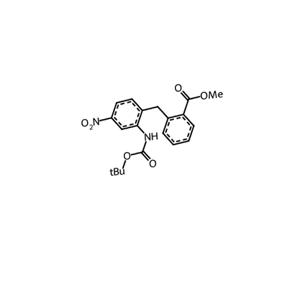 COC(=O)c1ccccc1Cc1ccc([N+](=O)[O-])cc1NC(=O)OC(C)(C)C